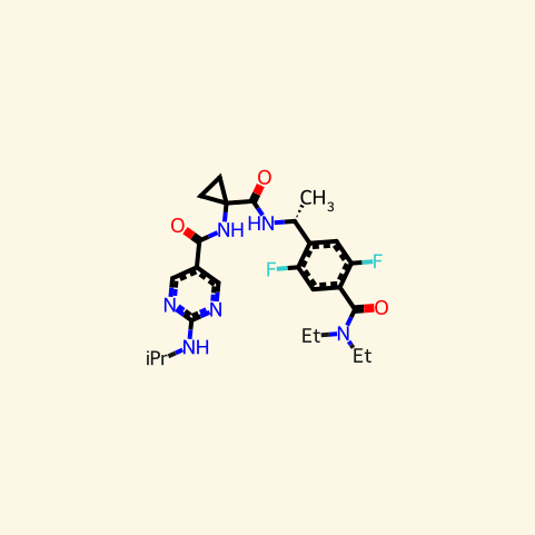 CCN(CC)C(=O)c1cc(F)c([C@@H](C)NC(=O)C2(NC(=O)c3cnc(NC(C)C)nc3)CC2)cc1F